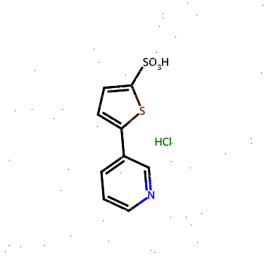 Cl.O=S(=O)(O)c1ccc(-c2cccnc2)s1